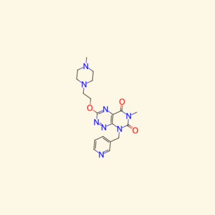 CN1CCN(CCOc2nnc3c(n2)c(=O)n(C)c(=O)n3Cc2cccnc2)CC1